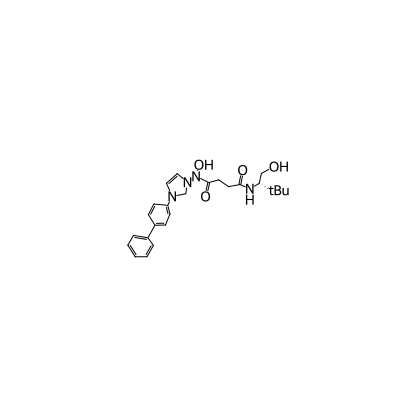 CC(C)(C)[C@@H](CO)NC(=O)CCC(=O)N(O)N1C=CN(c2ccc(-c3ccccc3)cc2)C1